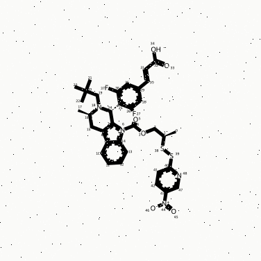 C[C@H](COC(=O)n1c2c(c3ccccc31)C[C@@H](C)N(CC(C)(C)C)[C@@H]2c1c(F)cc(/C=C/C(=O)O)cc1F)SSc1ccc([N+](=O)[O-])cn1